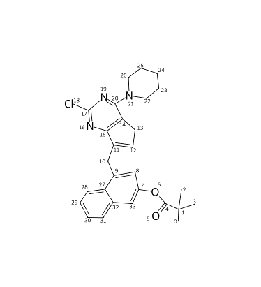 CC(C)(C)C(=O)Oc1cc(CC2=CCc3c2nc(Cl)nc3N2CCCCC2)c2ccccc2c1